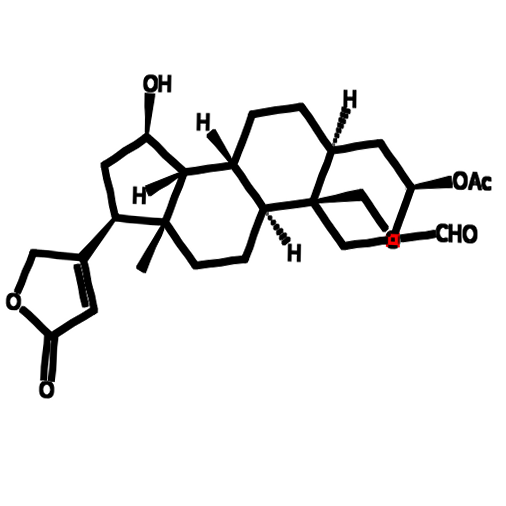 CC(=O)O[C@H]1CC[C@@]2(COC=O)[C@@H](CC[C@H]3[C@H]4[C@H](O)C[C@H](C5=CC(=O)OC5)[C@@]4(C)CC[C@@H]32)C1